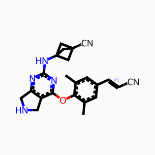 Cc1cc(/C=C/C#N)cc(C)c1Oc1nc(NC23CC(C#N)(C2)C3)nc2c1CNC2